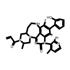 C=CC(=O)N1CC2CCNc3c(F)c(-c4ccccc4O)c(F)c4c3c(nc(=O)n4-c3c(C)ccnc3C(C)C)N2CC1C